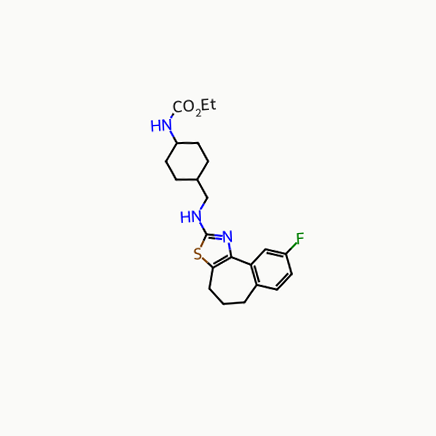 CCOC(=O)NC1CCC(CNc2nc3c(s2)CCCc2ccc(F)cc2-3)CC1